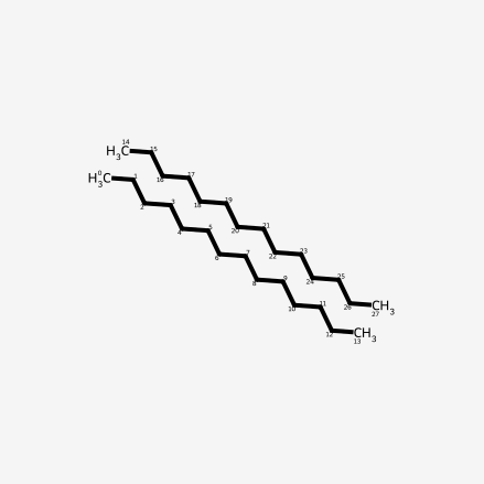 CCCCCCCCCCCCCC.CCCCCCCCCCCCCC